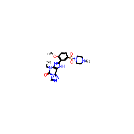 CCCOc1ccc(S(=O)(=O)N2CCN(CC)CC2)cc1-c1nc2c([nH]1)c1nncn1c(=O)n2CC(C)C